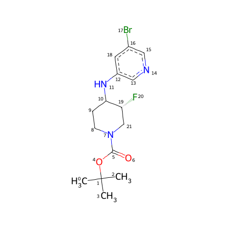 CC(C)(C)OC(=O)N1CCC(Nc2cncc(Br)c2)[C@H](F)C1